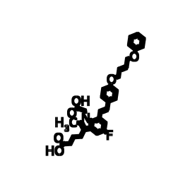 Cc1c(CCCC(=O)O)c2cc(F)cc(C=Cc3ccc(OC/C=C/COc4ccccc4)cc3)c2n1CC(=O)O